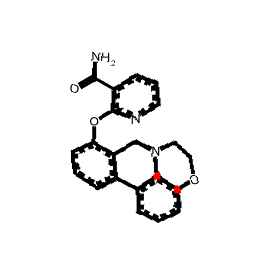 NC(=O)c1cccnc1Oc1cccc(-c2ccccc2)c1CN1CCOCC1